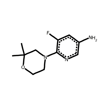 CC1(C)CN(c2ncc(N)cc2F)CCO1